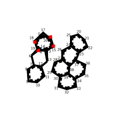 c1ccc2c(c1)C1c3ccccc3C2c2ccccc21.c1ccc2c(c1)cc1ccc3cccc4ccc2c1c34